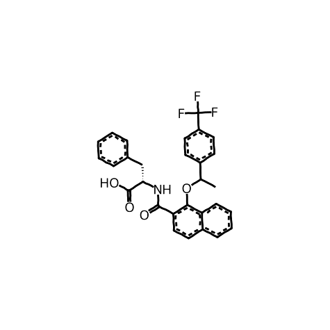 CC(Oc1c(C(=O)N[C@@H](Cc2ccccc2)C(=O)O)ccc2ccccc12)c1ccc(C(F)(F)F)cc1